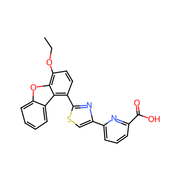 CCOc1ccc(-c2nc(-c3cccc(C(=O)O)n3)cs2)c2c1oc1ccccc12